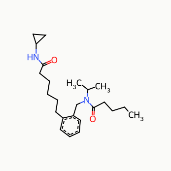 CCCCC(=O)N(Cc1ccccc1CCCCCC(=O)NC1CC1)C(C)C